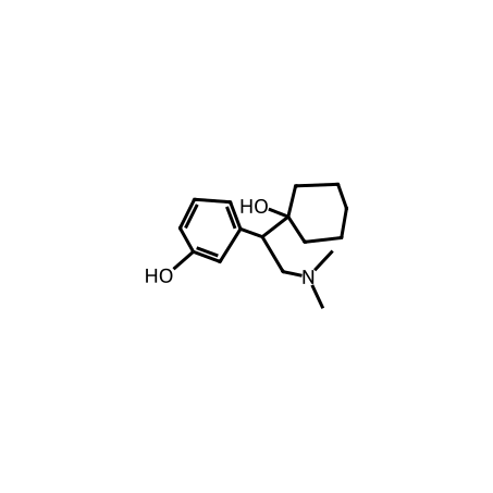 CN(C)CC(c1cccc(O)c1)C1(O)CCCCC1